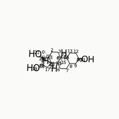 C[C@]12CC[C@H]3[C@@H](CCC4C[C@H](O)CC[C@@]43C)[C@@H]1C[C@H](O)[C@H]2O